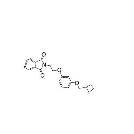 O=C1c2ccccc2C(=O)N1CCOc1cccc(OCC2CCC2)c1